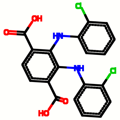 O=C(O)c1ccc(C(=O)O)c(Nc2ccccc2Cl)c1Nc1ccccc1Cl